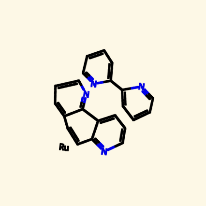 [Ru].c1ccc(-c2ccccn2)nc1.c1cnc2c(c1)ccc1ncccc12